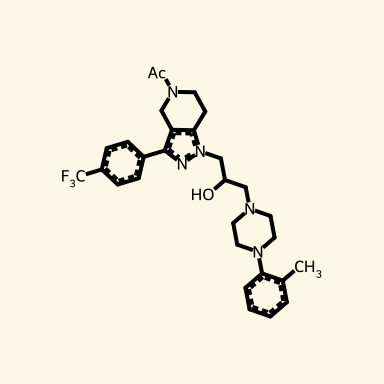 CC(=O)N1CCc2c(c(-c3ccc(C(F)(F)F)cc3)nn2CC(O)CN2CCN(c3ccccc3C)CC2)C1